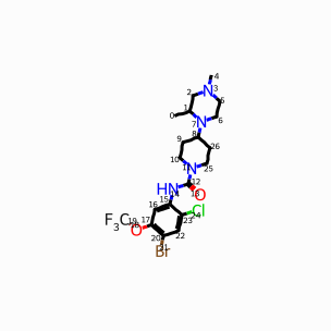 CC1CN(C)CCN1C1CCN(C(=O)Nc2cc(OC(F)(F)F)c(Br)cc2Cl)CC1